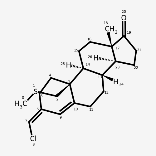 CSC[C@]12CC/C(=C/Cl)C=C1CC[C@@H]1[C@@H]2CC[C@]2(C)C(=O)CC[C@@H]12